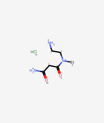 CCN(CCN)C(=O)CC(N)=O.Cl